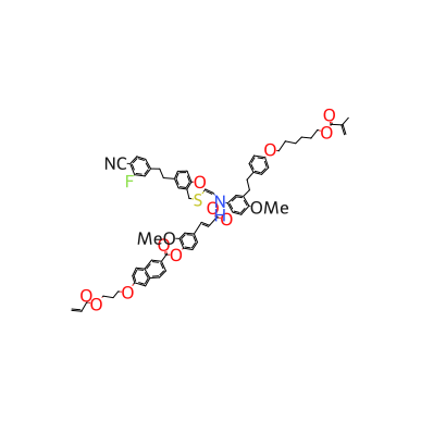 C=CC(=O)OCCCOc1ccc2cc(C(=O)Oc3ccc(/C=C/C(=O)Oc4cc(OC)c(CCc5ccc(OCCCCCCOC(=O)C(=C)C)cc5)cc4N/C=C4/Oc5ccc(CCc6ccc(C#N)c(F)c6)cc5CS4)cc3OC)ccc2c1